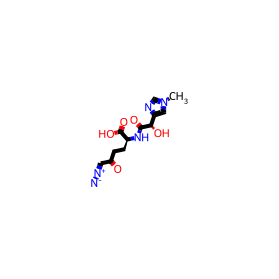 Cn1cnc([C@@H](O)C(=O)N[C@@H](CCC(=O)C=[N+]=[N-])C(=O)O)c1